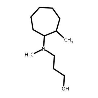 CC1CCCCCC1N(C)CCCO